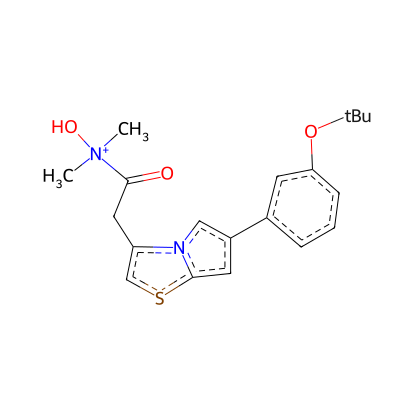 CC(C)(C)Oc1cccc(-c2cc3scc(CC(=O)[N+](C)(C)O)n3c2)c1